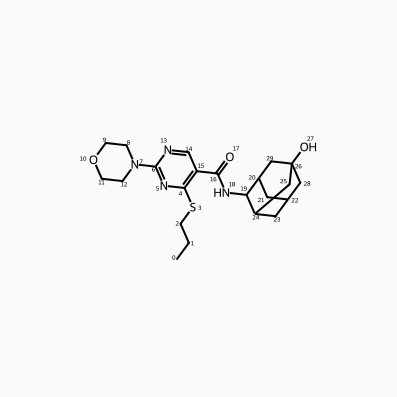 CCCSc1nc(N2CCOCC2)ncc1C(=O)NC1C2CC3CC1CC(O)(C3)C2